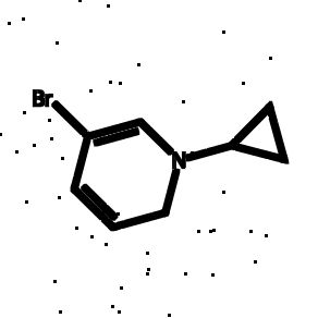 BrC1=CN(C2CC2)CC=C1